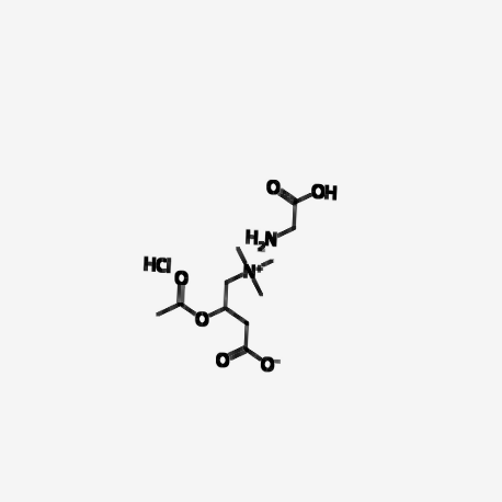 CC(=O)OC(CC(=O)[O-])C[N+](C)(C)C.Cl.NCC(=O)O